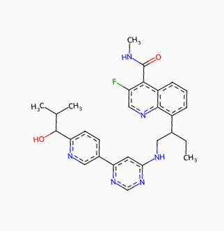 CCC(CNc1cc(-c2ccc(C(O)C(C)C)nc2)ncn1)c1cccc2c(C(=O)NC)c(F)cnc12